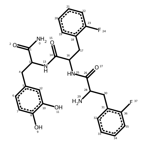 NC(=O)C(Cc1ccc(O)c(O)c1)NC(=O)C(Cc1ccccc1F)NC(=O)C(N)Cc1ccccc1F